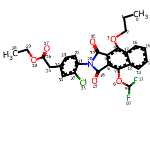 CCCOc1c2c(c(OC(F)F)c3ccccc13)C(=O)N(c1ccc(CC(=O)OCC)cc1Cl)C2=O